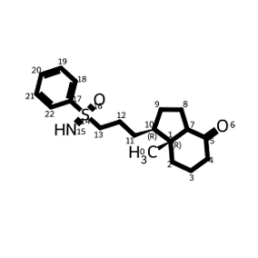 C[C@]12CCCC(=O)C1CC[C@@H]2CCCS(=N)(=O)c1ccccc1